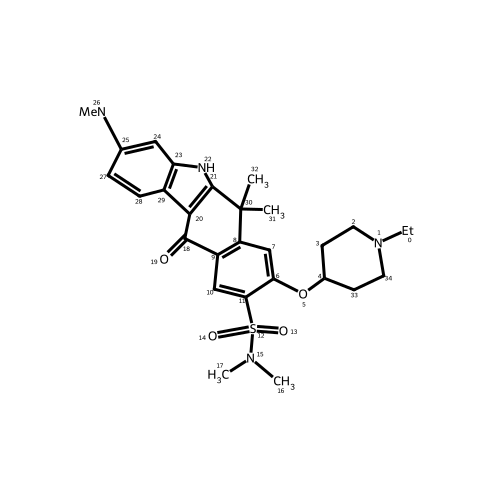 CCN1CCC(Oc2cc3c(cc2S(=O)(=O)N(C)C)C(=O)c2c([nH]c4cc(NC)ccc24)C3(C)C)CC1